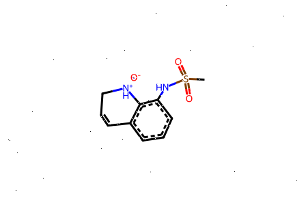 CS(=O)(=O)Nc1cccc2c1[NH+]([O-])CC=C2